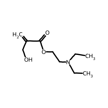 C=C(CO)C(=O)OCCN(CC)CC